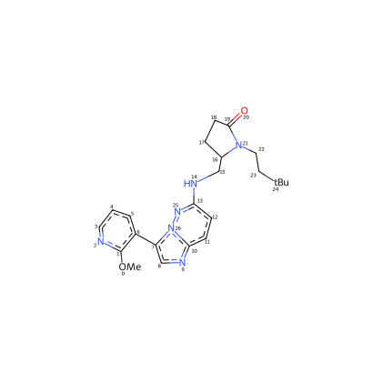 COc1ncccc1-c1cnc2ccc(NCC3CCC(=O)N3CCC(C)(C)C)nn12